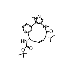 CC(C)[C@@H]1C=CC[C@H](NC(=O)OC(C)(C)C)c2cc(ccn2)-c2c(cnn2C)NC1=O